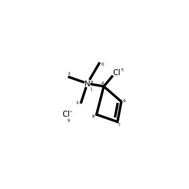 C[N+](C)(C)C1(Cl)C=CC1.[Cl-]